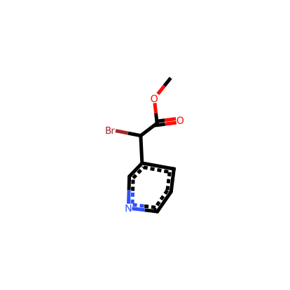 COC(=O)C(Br)c1cccnc1